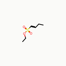 CC/C=C/S(=O)(=O)OCC